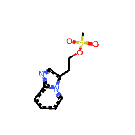 CS(=O)(=O)OCCc1cnc2ccccn12